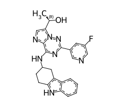 C[C@@H](O)c1cnc2c(NC3CCc4[nH]c5ccccc5c4C3)nc(-c3cncc(F)c3)nn12